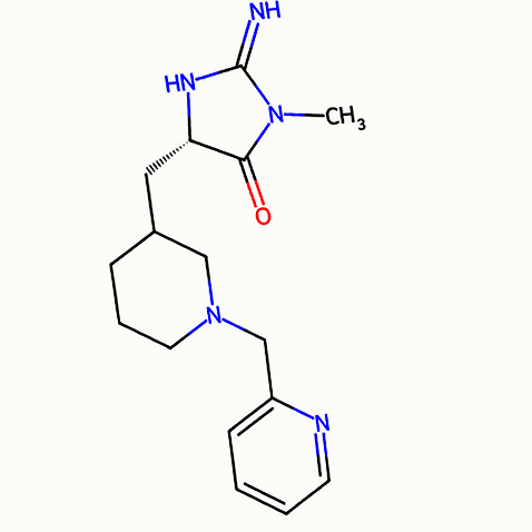 CN1C(=N)N[C@@H](CC2CCCN(Cc3ccccn3)C2)C1=O